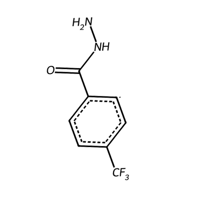 NNC(=O)c1[c]cc(C(F)(F)F)cc1